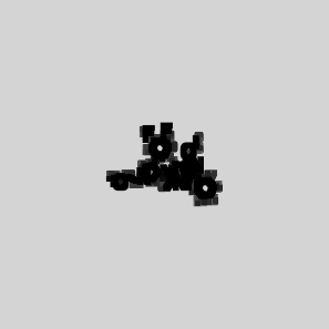 C=C(Nc1c(C)c(OCC)nn1-c1ccccc1)N[C@@H]1CN(CCOC)C[C@H]1c1ccc(F)c(F)c1